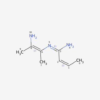 C\C=C/C(N)=N\C(C)=C(\C)N